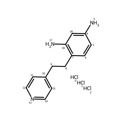 Cl.Cl.Cl.Nc1ccc(CCc2ccncc2)c(N)c1